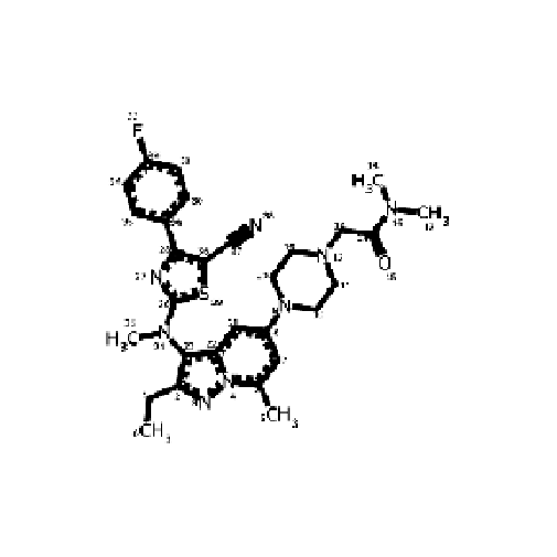 CCc1nn2c(C)cc(N3CCN(CC(=O)N(C)C)CC3)cc2c1N(C)c1nc(-c2ccc(F)cc2)c(C#N)s1